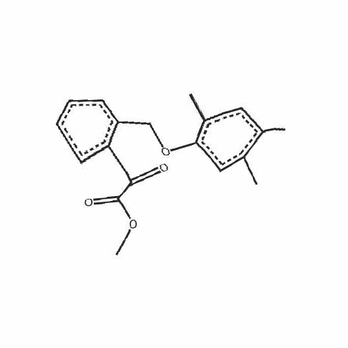 COC(=O)C(=O)c1ccccc1COc1cc(C)c(C)cc1C